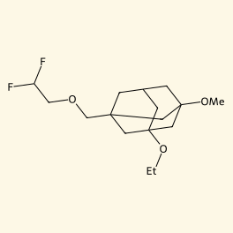 CCOC12CC3CC(COCC(F)F)(CC(OC)(C3)C1)C2